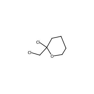 ClCC1(Cl)CCCCO1